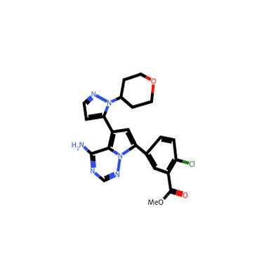 COC(=O)c1cc(-c2cc(-c3ccnn3C3CCOCC3)c3c(N)ncnn23)ccc1Cl